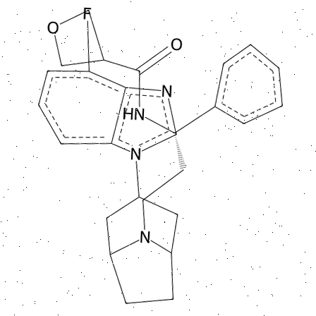 O=C(N[C@@H](CCN1C2CCC1CC(n1cnc3c(F)cccc31)C2)c1ccccc1)C1COC1